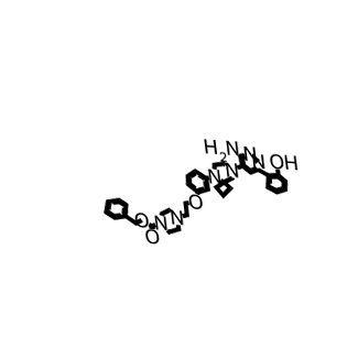 Nc1nnc(-c2ccccc2O)cc1N1CCN(c2cccc(OCCN3CCN(C(=O)OCc4ccccc4)CC3)c2)C2(CCC2)C1